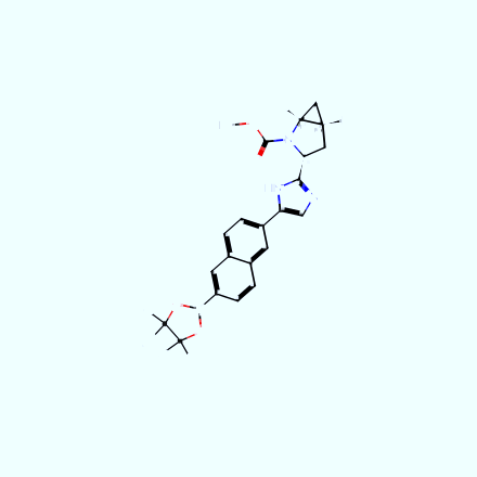 CC(C)(C)OC(=O)N1[C@@H]2C[C@@H]2C[C@H]1c1ncc(-c2ccc3cc(B4OC(C)(C)C(C)(C)O4)ccc3c2)[nH]1